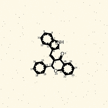 O=C1C(=Cc2c[nH]c3ccccc23)[C@H](c2ccccc2)Oc2ccccc21